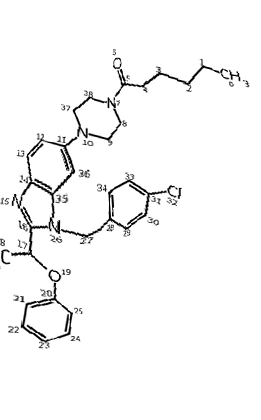 CCCCCC(=O)N1CCN(c2ccc3nc(C(C)Oc4ccccc4)n(Cc4ccc(Cl)cc4)c3c2)CC1